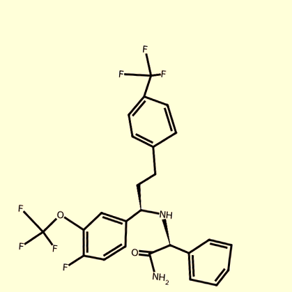 NC(=O)[C@@H](N[C@H](CCc1ccc(C(F)(F)F)cc1)c1ccc(F)c(OC(F)(F)F)c1)c1ccccc1